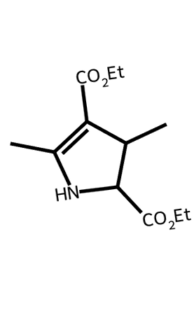 CCOC(=O)C1=C(C)NC(C(=O)OCC)C1C